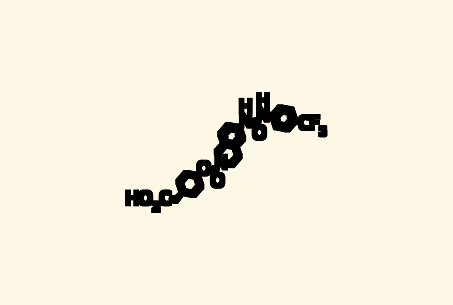 O=C(O)C[C@H]1CC[C@H](OC(=O)N2CCc3cc(NC(=O)Nc4ccc(C(F)(F)F)cc4)ccc3C2)CC1